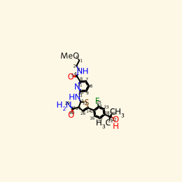 COCCNC(=O)c1cccc(NC2SC(c3ccc(C(C)(C)O)cc3F)=CC2C(N)=O)n1